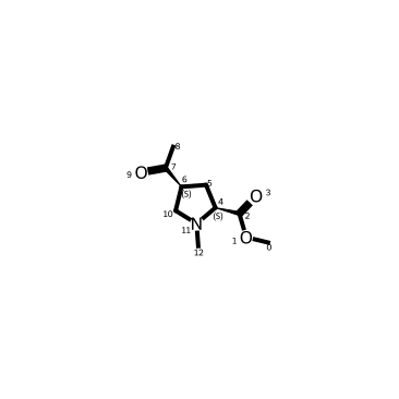 COC(=O)[C@@H]1C[C@H](C(C)=O)CN1C